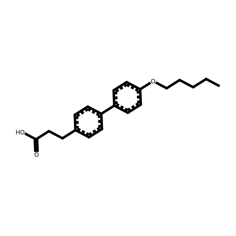 CCCCCOc1ccc(-c2ccc(CCC(=O)O)cc2)cc1